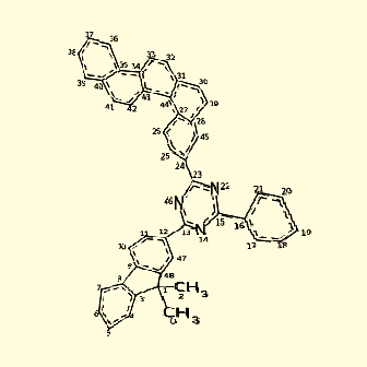 CC1(C)c2ccccc2-c2ccc(-c3nc(-c4ccccc4)nc(-c4ccc5c(ccc6ccc7c8ccccc8ccc7c65)c4)n3)cc21